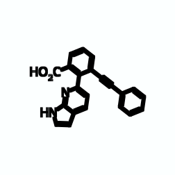 O=C(O)c1cccc(C#Cc2ccccc2)c1-c1ccc2cc[nH]c2n1